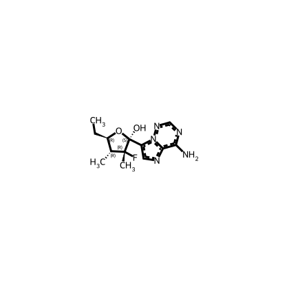 CC[C@H]1O[C@@](O)(c2cnc3c(N)ncnn23)[C@](C)(F)[C@@H]1C